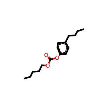 CCCCCOC(=O)Oc1ccc(CCCC)cc1